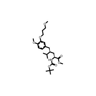 COCCCOc1cc(C[C@@H](C[C@H](NC(=O)OC(C)(C)C)C(=O)OC)C(C)C)ccc1OC